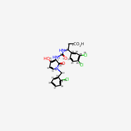 O=C(O)CC(NC(=O)Nc1c(O)ccn(Cc2ccccc2Cl)c1=O)c1ccc(Cl)c(Cl)c1